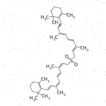 CC(C=CC1=C(C)CCCC1(C)C)=CC=CC(C)=CCS(=O)(=O)CC=C(C)C=CC=C(C)C=CC1=C(C)CCCC1(C)C